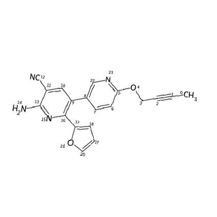 CC#CCOc1ccc(-c2cc(C#N)c(N)nc2-c2ccco2)cn1